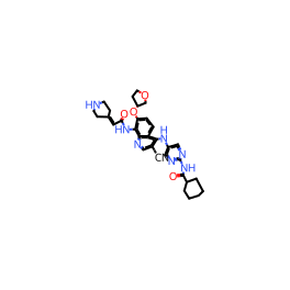 N#Cc1cnc2c(NC(=O)C=C3CCNCC3)c(OC3CCOC3)ccc2c1Nc1cnc(NC(=O)C2CCCCC2)nc1